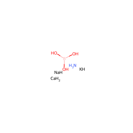 N.OB(O)O.[CaH2].[KH].[NaH]